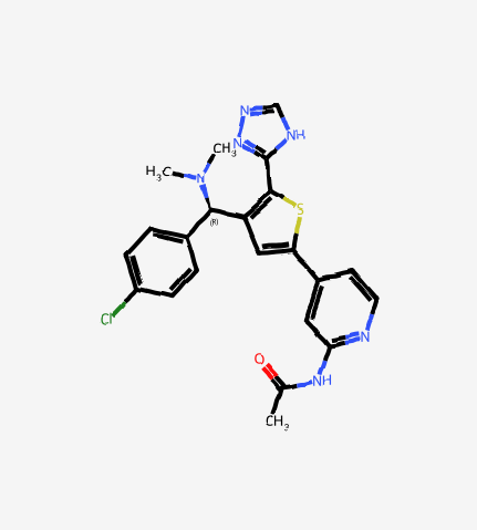 CC(=O)Nc1cc(-c2cc([C@@H](c3ccc(Cl)cc3)N(C)C)c(-c3nnc[nH]3)s2)ccn1